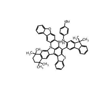 CC(C)(C)c1ccc(Nc2cc3c(cc2-c2c4c5c(c6cc7c(cc6n5-c5cc6c(cc5B4)oc4ccccc46)C(C)(C)CCC7(C)C)c4c2sc2ccccc24)-c2ccccc2C3(C)C)cc1